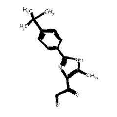 Cc1[nH]c(-c2ccc(C(C)(C)C)cc2)nc1C(=O)CBr